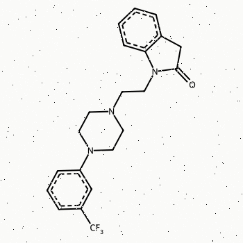 O=C1Cc2ccccc2N1CCN1CCN(c2cccc(C(F)(F)F)c2)CC1